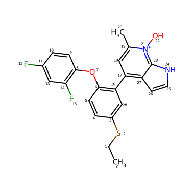 CCSc1ccc(Oc2ccc(F)cc2F)c(-c2cc(C)[n+](O)c3[nH]ccc23)c1